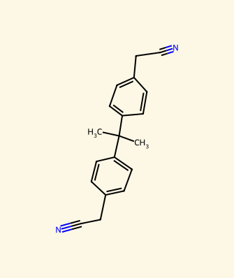 CC(C)(c1ccc(CC#N)cc1)c1ccc(CC#N)cc1